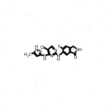 Cc1cc(Nc2nc(Nc3cc4c(cc3F)CNC4=O)ncc2Cl)n[nH]1